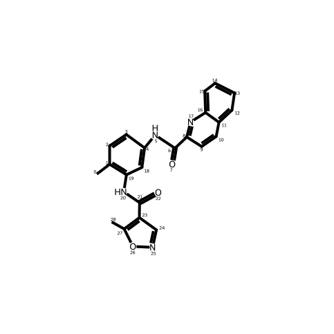 Cc1ccc(NC(=O)c2ccc3ccccc3n2)cc1NC(=O)c1cnoc1C